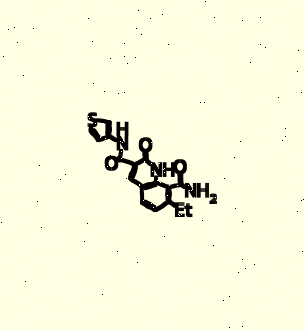 CCc1ccc2cc(C(=O)Nc3ccsc3)c(=O)[nH]c2c1C(N)=O